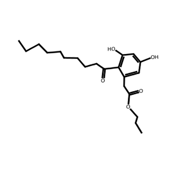 CCCCCCCCCC(=O)c1c(O)cc(O)cc1CC(=O)OCCC